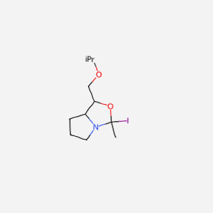 CC(C)OCC1OC(C)(I)N2CCCC12